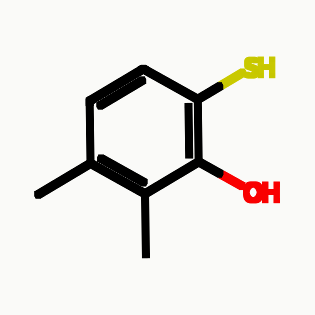 Cc1ccc(S)c(O)c1C